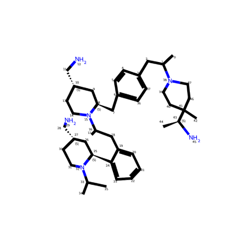 CC(Cc1ccc(C[C@@H]2C[C@@H](CN)CCN2C(C)Cc2ccccc2[C@@H]2C[C@@H](CN)CCN2C(C)C)cc1)N1CCC(C)([C@H](C)N)CC1